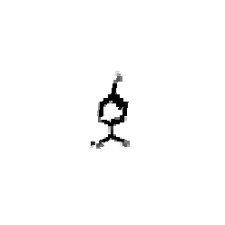 CC(Br)c1ncc(Br)cn1